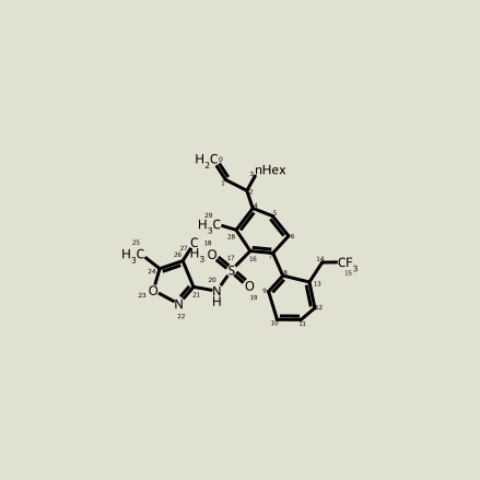 C=CC(CCCCCC)c1ccc(-c2ccccc2CC(F)(F)F)c(S(=O)(=O)Nc2noc(C)c2C)c1C